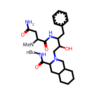 CCCCNC(=O)C1CC2CCCCC2CN1CC(O)C(Cc1ccccc1)NC(=O)C(CC(N)=O)NC